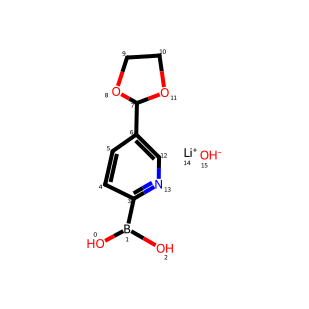 OB(O)c1ccc(C2OCCO2)cn1.[Li+].[OH-]